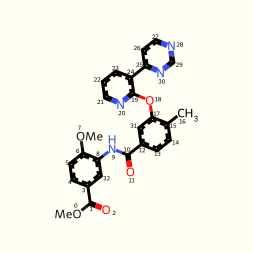 COC(=O)c1ccc(OC)c(NC(=O)c2ccc(C)c(Oc3ncccc3-c3ccncn3)c2)c1